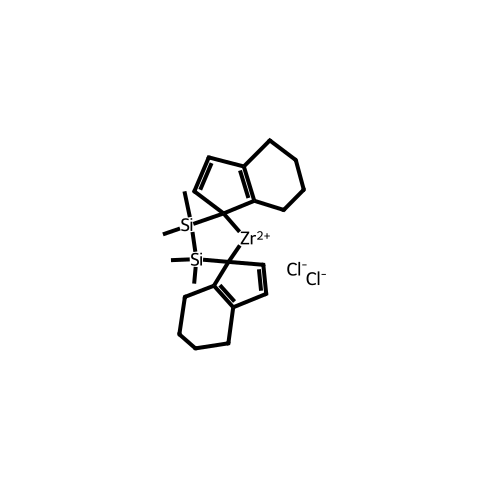 C[Si]1(C)[C]2(C=CC3=C2CCCC3)[Zr+2][C]2(C=CC3=C2CCCC3)[Si]1(C)C.[Cl-].[Cl-]